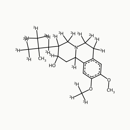 [2H]C([2H])([2H])Oc1cc2c(cc1OC)C([2H])([2H])C([2H])([2H])N1C2([2H])CC([2H])(O)C([2H])(C([2H])([2H])C(C)(C([2H])([2H])[2H])C([2H])([2H])[2H])C1([2H])[2H]